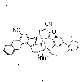 Cc1cccc(C)c1-c1cc(-c2c(C)cccc2C)c2c(c1)oc1c(C#N)cc3c(c4cc(C(C)(C)C)cc5c6c7c(c(C#N)cc6n3c54)C3c4ccccc4C7c4ccccc43)c12